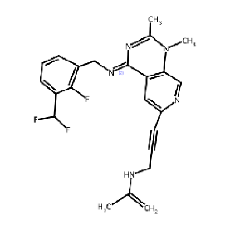 C=C(C)NCC#Cc1cc2/c(=N/Cc3cccc(C(F)F)c3F)nc(C)n(C)c2cn1